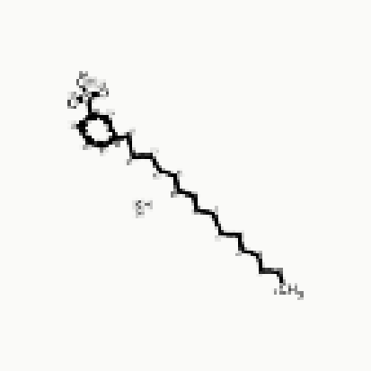 CCCCCCCCCCCCCCCCc1cccc(S(=O)(=O)O)c1.[KH]